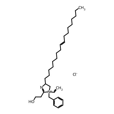 C=C[N+]1(Cc2ccccc2)CC(CCCCCCCCC=CCCCCCCCC)N=C1CCO.[Cl-]